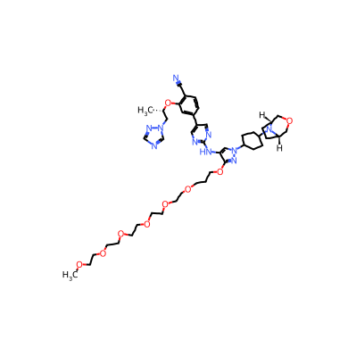 COCCOCCOCCOCCOCCOCCCOc1nn(C2CCC(N3[C@@H]4CC[C@H]3COC4)CC2)cc1Nc1ncc(-c2ccc(C#N)c(O[C@@H](C)Cn3cncn3)c2)cn1